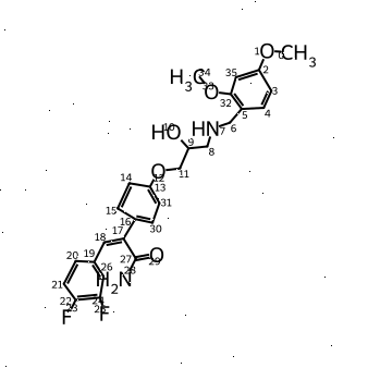 COc1ccc(CNCC(O)COc2ccc(/C(=C/c3ccc(F)c(F)c3)C(N)=O)cc2)c(OC)c1